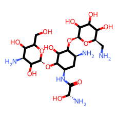 NC[C@H]1O[C@@H](OC2C(O)C(O[C@H]3OC(CO)C(O)[C@H](N)C3O)[C@H](NC(=O)[C@H](N)O)C[C@@H]2N)C(O)C(O)C1O